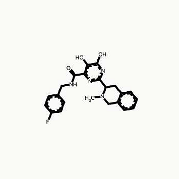 CN1Cc2ccccc2CC1c1nc(O)c(O)c(C(=O)NCc2ccc(F)cc2)n1